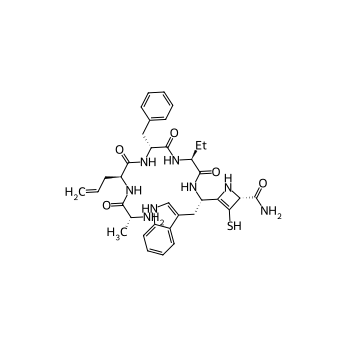 C=CC[C@H](NC(=O)[C@@H](C)N)C(=O)N[C@H](Cc1ccccc1)C(=O)N[C@@H](CC)C(=O)N[C@@H](Cc1c[nH]c2ccccc12)C1=C(S)[C@@H](C(N)=O)N1